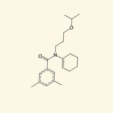 Cc1cc(C)cc(C(=O)N(CCCOC(C)C)C2=CCCCC2)c1